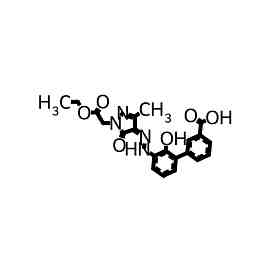 CCOC(=O)CN1N=C(C)/C(=N/Nc2cccc(-c3cccc(C(=O)O)c3)c2O)C1=O